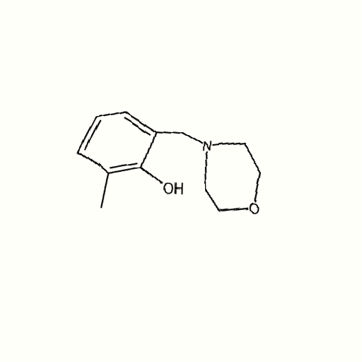 Cc1cccc(CN2CCOCC2)c1O